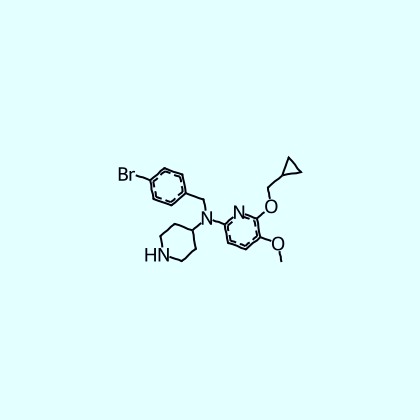 COc1ccc(N(Cc2ccc(Br)cc2)C2CCNCC2)nc1OCC1CC1